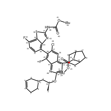 C[C@@H](CN1CC=CCC1)Oc1nc(N2CC3CCC(C2)N3C(=O)OC(C)(C)C)c2cc(Cl)c(-c3ccc(F)c4sc(NC(=O)OC(C)(C)C)nc34)c(F)c2n1